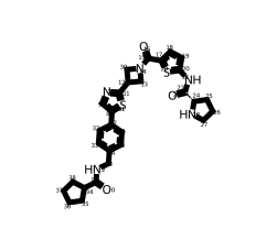 O=C(NCc1ccc(-c2cnc(C3CN(C(=O)c4ccc(NC(=O)[C@@H]5CCCN5)s4)C3)s2)cc1)C1CCCC1